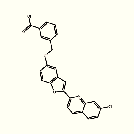 O=C(O)c1cccc(COc2ccc3oc(-c4ccc5ccc(Cl)cc5n4)cc3c2)c1